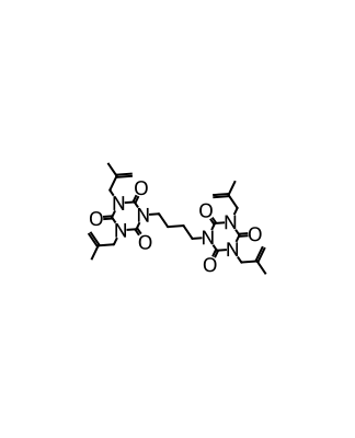 C=C(C)Cn1c(=O)n(CCCCn2c(=O)n(CC(=C)C)c(=O)n(CC(=C)C)c2=O)c(=O)n(CC(=C)C)c1=O